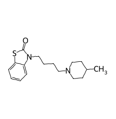 CC1CCN(CCCCn2c(=O)sc3ccccc32)CC1